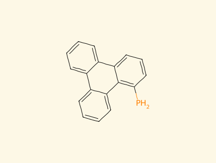 Pc1cccc2c3ccccc3c3ccccc3c12